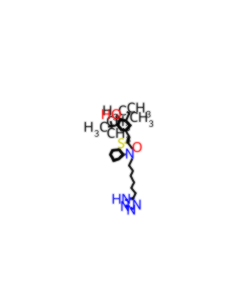 CC(C)(C)c1cc(/C=C2\Sc3ccccc3N(CCCCCCCc3nnn[nH]3)C2=O)cc(C(C)(C)C)c1O